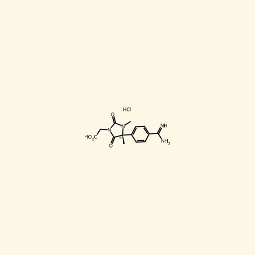 CN1C(=O)N(CC(=O)O)C(=O)[C@@]1(C)c1ccc(C(=N)N)cc1.Cl